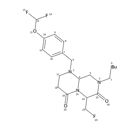 CCC(C)CN1CC2N(Cc3ccc(OC(F)F)cc3)CCC(=O)N2C(CF)C1=O